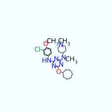 COc1ccc(Nc2nc(OC3CCCCCC3)nc(N(C)C3CCN(C)CC3)n2)cc1Cl